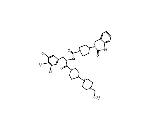 Cc1c(Cl)cc(CC(NC(=O)N2CCC(N3Cc4ccccc4NC3=O)CC2)C(=O)N2CCC(N3CCN(CC(=O)O)CC3)CC2)cc1Cl